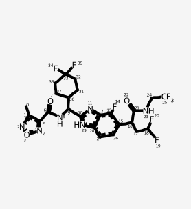 Cc1nonc1C(=O)NC(c1nc2c(F)c(C(CC(F)F)C(=O)NCC(F)(F)F)ccc2[nH]1)C1CCC(F)(F)CC1